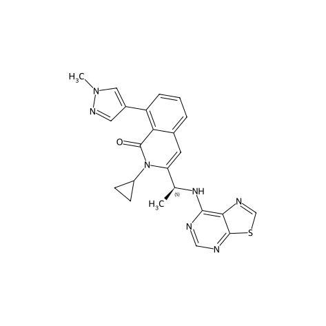 C[C@H](Nc1ncnc2scnc12)c1cc2cccc(-c3cnn(C)c3)c2c(=O)n1C1CC1